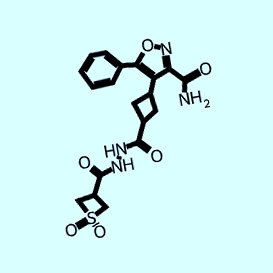 NC(=O)c1noc(-c2ccccc2)c1C1CC(C(=O)NNC(=O)C2CS(=O)(=O)C2)C1